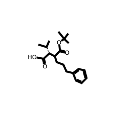 CC(C)[C@@H](C(=O)O)C(CCCc1ccccc1)C(=O)OC(C)(C)C